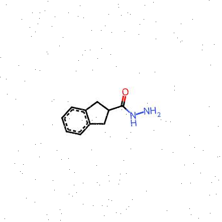 NNC(=O)C1Cc2ccccc2C1